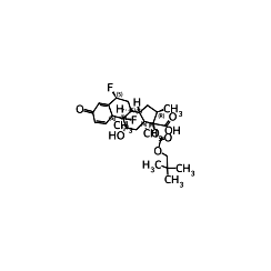 C[C@@H]1C[C@H]2[C@@H]3C[C@H](F)C4=CC(=O)C=C[C@]4(C)[C@@]3(F)[C@@H](O)C[C@]2(C)[C@@]1(OC(=O)OCC(C)(C)C)C(=O)O